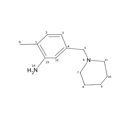 Cc1ccc(CN2CCCCC2)cc1N